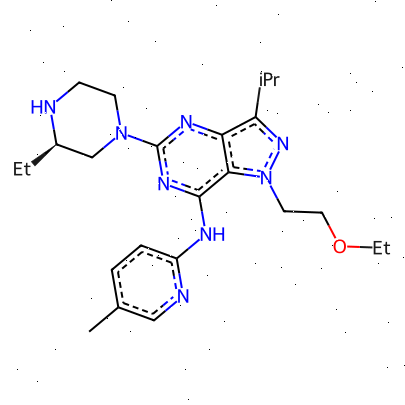 CCOCCn1nc(C(C)C)c2nc(N3CCN[C@H](CC)C3)nc(Nc3ccc(C)cn3)c21